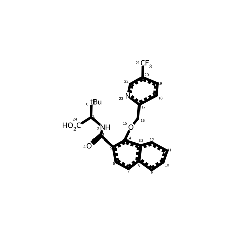 CC(C)(C)C(NC(=O)c1ccc2ccccc2c1OCc1ccc(C(F)(F)F)cn1)C(=O)O